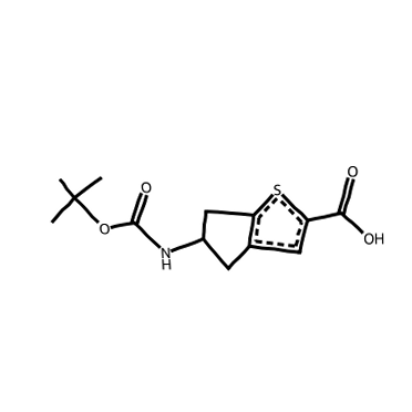 CC(C)(C)OC(=O)NC1Cc2cc(C(=O)O)sc2C1